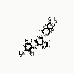 Cc1nc(N2CCC3([CH][C@H](C)OC3)CC2)n2ccnc2c1Sc1ccnc(N)c1Cl